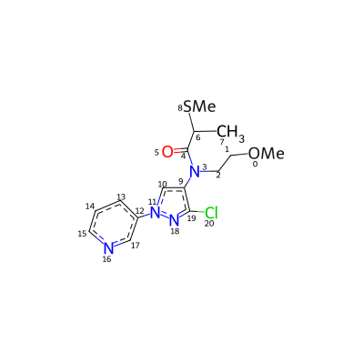 COCCN(C(=O)C(C)SC)c1cn(-c2cccnc2)nc1Cl